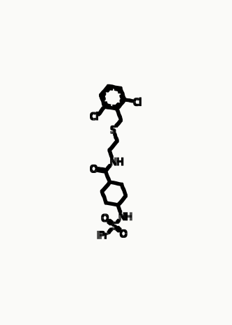 CC(C)S(=O)(=O)NC1CCC(C(=O)NCCSCc2c(Cl)cccc2Cl)CC1